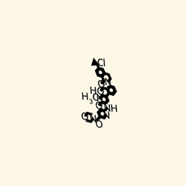 Cn1cc(-c2cccc(N3CCc4cc(C5(Cl)CC5)ccc4C3=O)c2CO)cc(Nc2ccc(C(=O)N3CCOCC3)cn2)c1=O